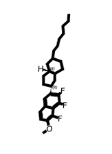 CCCCCCCC1CCC2C[C@H](c3cc4ccc(OC)c(F)c4c(F)c3F)CC[C@@H]2C1